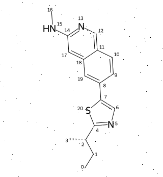 CC[C@H](C)c1ncc(-c2ccc3cnc(NC)cc3c2)s1